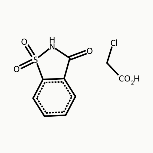 O=C(O)CCl.O=C1NS(=O)(=O)c2ccccc21